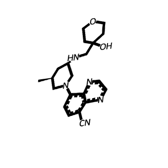 C[C@H]1C[C@@H](NCC2(O)CCOCC2)CN(c2ccc(C#N)c3nccnc23)C1